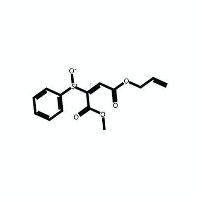 C=CCOC(=O)/C=C(\C(=O)OC)[S+]([O-])c1ccccc1